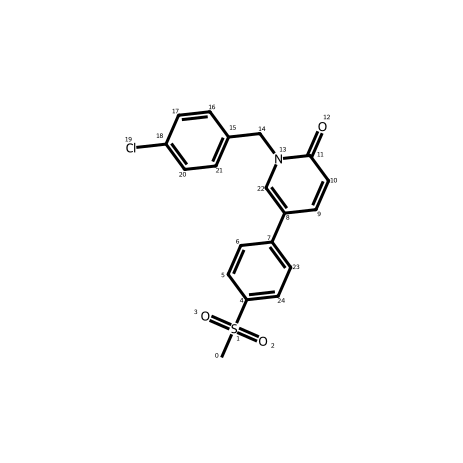 CS(=O)(=O)c1ccc(-c2ccc(=O)n(Cc3ccc(Cl)cc3)c2)cc1